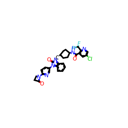 O=C(NC1CCC(Cn2c(=O)n(-c3ccc(N4CCC4=O)nc3)c3ccccc32)CC1)c1cc(Cl)cnc1C(F)F